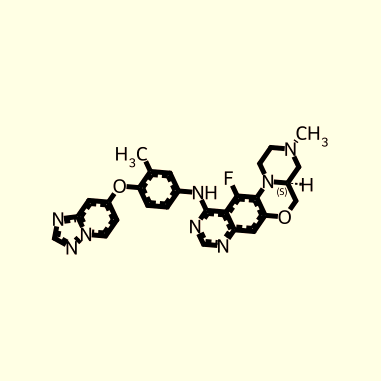 Cc1cc(Nc2ncnc3cc4c(c(F)c23)N2CCN(C)C[C@H]2CO4)ccc1Oc1ccn2ncnc2c1